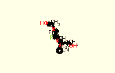 CCc1c(OCCCC(C)C2CCC(O)C2)cccc1-c1cc(F)cc2c1CCC2Oc1cc(OCC2=C/C(C#N)=C\CCC/C=C\2)c(CCCCC(C)(C)CO)cc1C